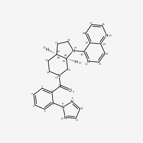 O=C(c1ccccc1-n1nccn1)N1CC[C@H]2CCN(c3nccc4ncccc34)[C@H]2C1